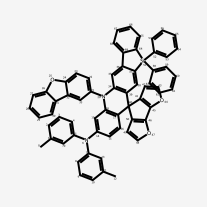 Cc1cccc(N(c2cccc(C)c2)c2ccc3c(c2)N(c2ccc4oc5ccccc5c4c2)c2cc4c(cc2C32c3ccoc3-c3occc32)[Si](c2ccccc2)(c2ccccc2)c2ccccc2-4)c1